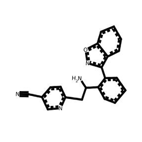 N#Cc1ccc(CC(N)c2ccccc2-c2noc3ccccc23)nc1